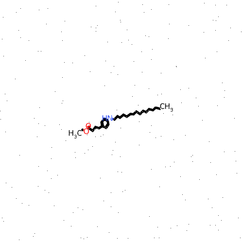 CCCCCCCCCCCCCCCCNc1ccc(CCCC(=O)OCC)cc1